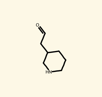 O=CCC1CCCNC1